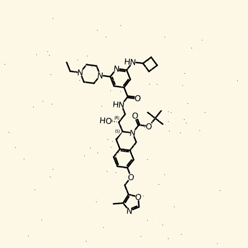 CCN1CCN(c2cc(C(=O)NC[C@@H](O)[C@@H]3Cc4ccc(OCc5ocnc5C)cc4CN3C(=O)OC(C)(C)C)cc(NC3CCC3)n2)CC1